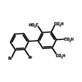 O=C(O)c1cc(-c2cccc(Br)c2Br)c(C(=O)O)c(C(=O)O)c1C(=O)O